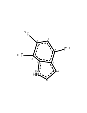 Fc1cc(F)c2cc[nH]c2c1F